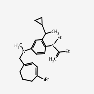 C=C(CC)N(CC)c1ccc(N(C)CC2=CC=C(CCC)CCC2)cc1C(C)C1CC1